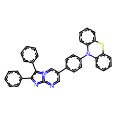 c1ccc(-c2nc3ncc(-c4ccc(N5c6ccccc6Sc6ccccc65)cc4)cn3c2-c2ccccc2)cc1